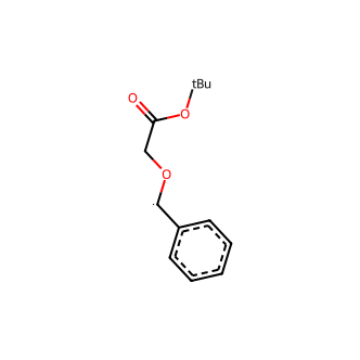 CC(C)(C)OC(=O)CO[CH]c1ccccc1